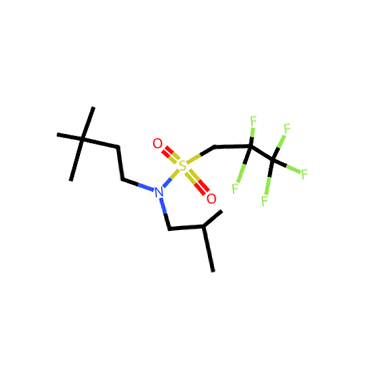 CC(C)CN(CCC(C)(C)C)S(=O)(=O)CC(F)(F)C(F)(F)F